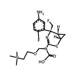 C[Si](C)(C)CCOCN(C(=O)O)C1=N[C@](CF)(c2cc(N)ccc2F)[C@@H]2C[C@@H]2S1